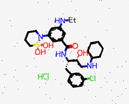 CCNc1cc(C(=O)N[C@@H](Cc2cccc(Cl)c2)[C@H](O)CNC2CCCCC2)cc(N2CCCCS2(O)O)c1.Cl